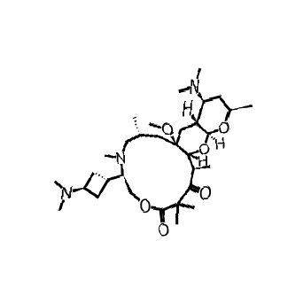 CO[C@]12C[C@@H](C)CN(C)[C@H]([C@H]3C[C@H](N(C)C)C3)COC(=O)C(C)(C)C(=O)[C@H](C)[C@H]1O[C@@H]1O[C@H](C)C[C@H](N(C)C)[C@H]1C2